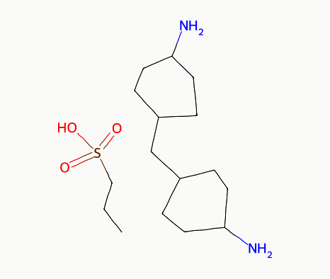 CCCS(=O)(=O)O.NC1CCC(CC2CCC(N)CC2)CC1